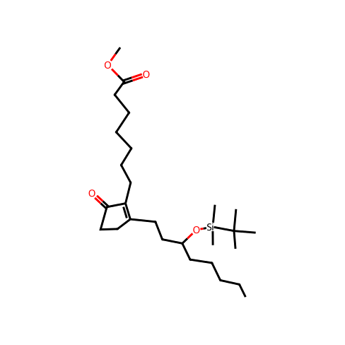 CCCCCC(CCC1=C(CCCCCCC(=O)OC)C(=O)CC1)O[Si](C)(C)C(C)(C)C